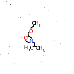 CCCOC[C@@H]1CN(CC(C)C)CCO1